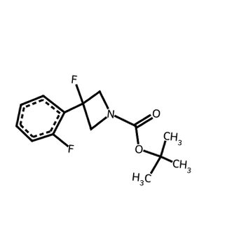 CC(C)(C)OC(=O)N1CC(F)(c2ccccc2F)C1